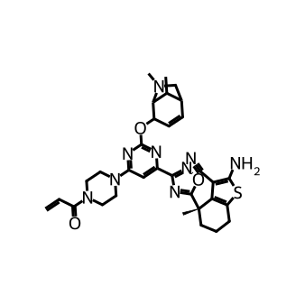 C=CC(=O)N1CCN(c2cc(-c3noc([C@@]4(C)CCCc5sc(N)c(C#N)c54)n3)nc(OC3C=CC4CN(C)C3C4C)n2)CC1